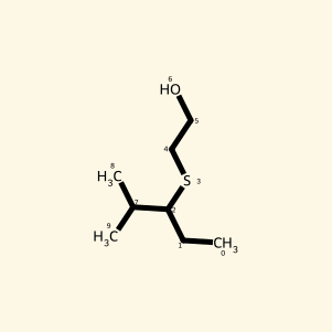 CCC(SCCO)C(C)C